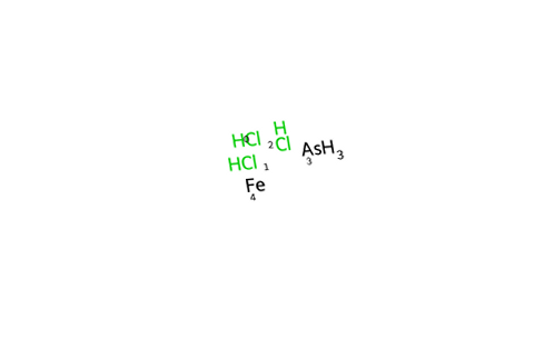 Cl.Cl.Cl.[AsH3].[Fe]